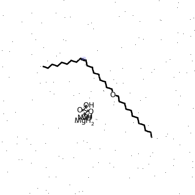 CCCCCCCC/C=C\CCCCCCCCOCCCCCCCCCCCC.O=S(=O)(O)O.[MgH2].[NaH]